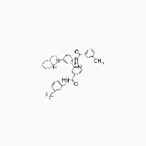 Cc1cccc(C(=O)Nc2ccc(N3CCC4CCCC[C@@H]4C3)cc2-c2cc(C(=O)NCc3cccc(C(F)(F)F)c3)ccn2)c1